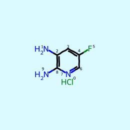 Cl.Nc1cc(F)cnc1N